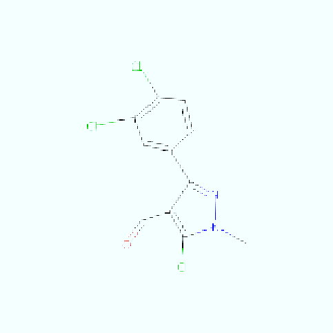 Cn1nc(-c2ccc(Cl)c(Cl)c2)c(C=O)c1Cl